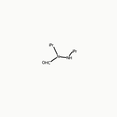 CC(C)NN(C=O)C(C)C